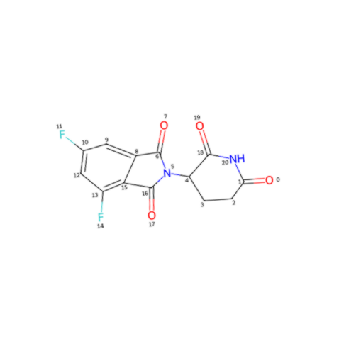 O=C1CCC(N2C(=O)c3cc(F)cc(F)c3C2=O)C(=O)N1